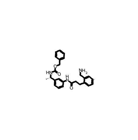 C[C@H](NC(=O)OCc1ccccc1)c1cccc(NC(=O)CCc2cc[c]cc2CN)c1